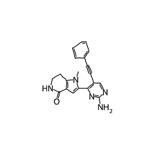 Cn1c(-c2nc(N)ncc2C#Cc2ccccc2)cc2c1CCNC2=O